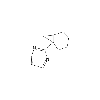 c1cnc(C23CCCCC2C3)nc1